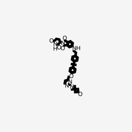 CC(C)(c1ccc(CCNc2ccc3c(c2)C(=O)N(C2CCC(=O)NC2=O)C3=O)cc1)c1ccc(OCc2ccnc(N3CC4(CC(=O)C4)C3)n2)cc1